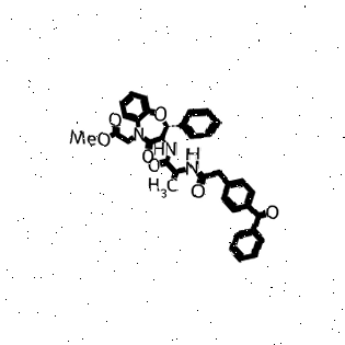 COC(=O)CN1C(=O)[C@@H](NC(=O)C(C)NC(=O)Cc2ccc(C(=O)c3ccccc3)cc2)[C@@H](c2ccccc2)Oc2ccccc21